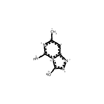 CCCc1nc(C)cc2nnc(O)n12